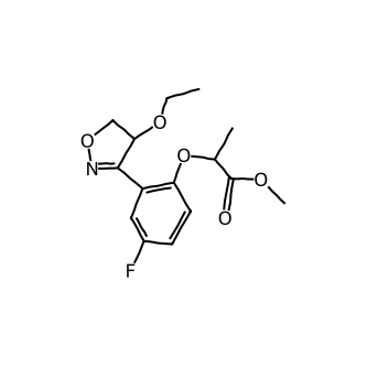 CCOC1CON=C1c1cc(F)ccc1OC(C)C(=O)OC